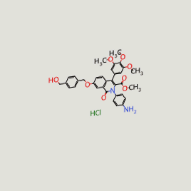 COC(=O)c1c(-c2cc(OC)c(OC)c(OC)c2)c2ccc(OCc3ccc(CO)cc3)cc2c(=O)n1-c1ccc(N)cc1.Cl